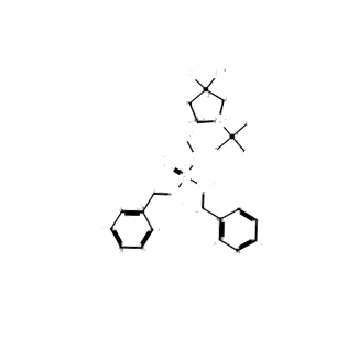 CC(C)(C)N1CC(F)(F)C[C@H]1COP(=O)(OCc1ccccc1)OCc1ccccc1